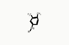 Cc1cc[c]([Mg][Br])cc1C(F)(F)F